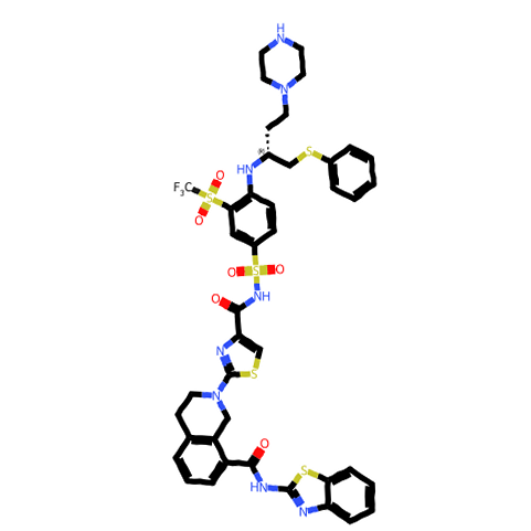 O=C(NS(=O)(=O)c1ccc(N[C@H](CCN2CCNCC2)CSc2ccccc2)c(S(=O)(=O)C(F)(F)F)c1)c1csc(N2CCc3cccc(C(=O)Nc4nc5ccccc5s4)c3C2)n1